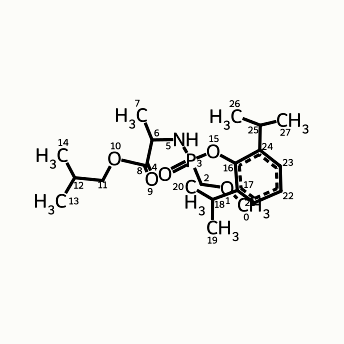 COCP(=O)(NC(C)C(=O)OCC(C)C)Oc1c(C(C)C)cccc1C(C)C